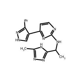 Cc1nnc(C(C)Nc2nccc(-c3c[nH]nc3C(C)C)n2)[nH]1